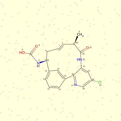 C[C@@H]1/C=C/C[C@H](NC(=O)O)c2cccc(c2)-c2ncc(Cl)cc2NC1=O